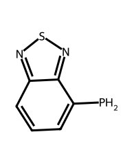 Pc1cccc2nsnc12